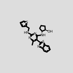 Cc1nc(NCc2cccs2)nc(N[C@@H]2CCC[C@H]2O)c1-c1nc2ccccc2s1